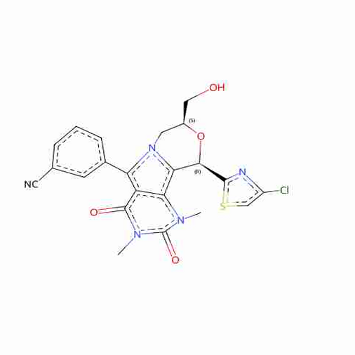 Cn1c(=O)c2c(-c3cccc(C#N)c3)n3c(c2n(C)c1=O)[C@H](c1nc(Cl)cs1)O[C@H](CO)C3